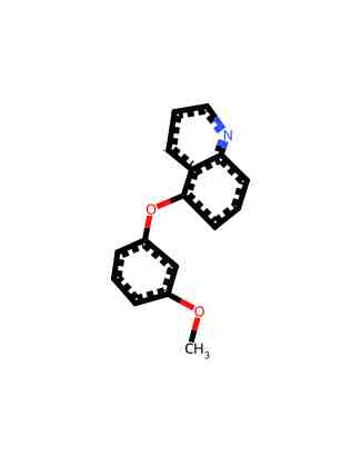 COc1cccc(Oc2cccc3ncc[c]c23)c1